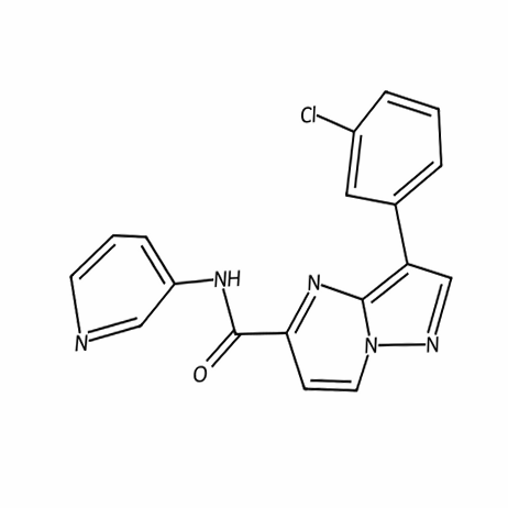 O=C(Nc1cccnc1)c1ccn2ncc(-c3cccc(Cl)c3)c2n1